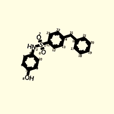 O=S(=O)(Nc1ccc(O)cc1)c1ccc(Cc2ccccc2)cc1